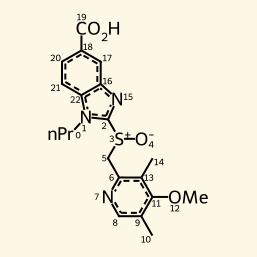 CCCn1c([S+]([O-])Cc2ncc(C)c(OC)c2C)nc2cc(C(=O)O)ccc21